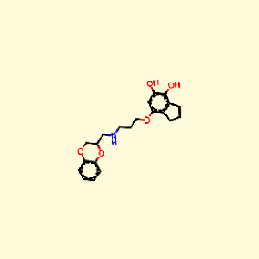 Oc1cc(OCCCNCC2COc3ccccc3O2)c2c(c1O)CCC2